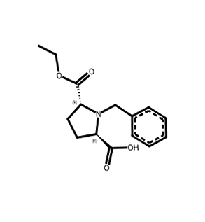 CCOC(=O)[C@H]1CC[C@H](C(=O)O)N1Cc1ccccc1